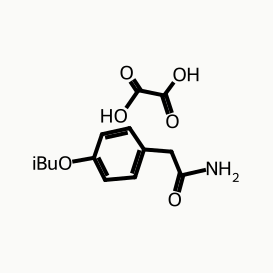 CC(C)COc1ccc(CC(N)=O)cc1.O=C(O)C(=O)O